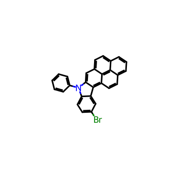 Brc1ccc2c(c1)c1c3ccc4cccc5ccc(cc1n2-c1ccccc1)c3c54